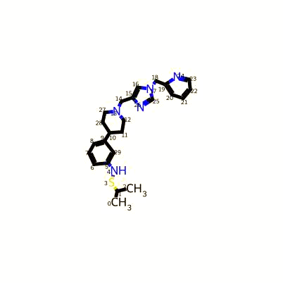 CC(C)SNc1cccc(C2CCN(Cc3cn(Cc4ccccn4)cn3)CC2)c1